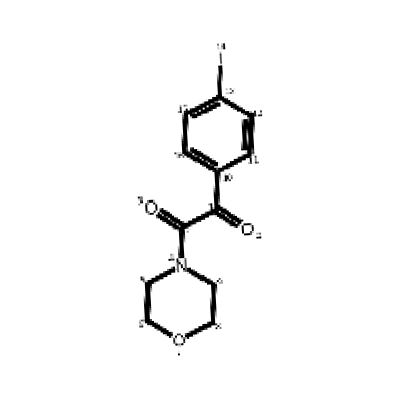 O=C(C(=O)N1CCOCC1)c1ccc(I)cc1